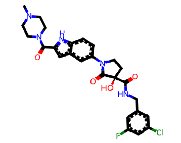 CN1CCN(C(=O)c2cc3cc(N4CC[C@](O)(C(=O)NCc5cc(F)cc(Cl)c5)C4=O)ccc3[nH]2)CC1